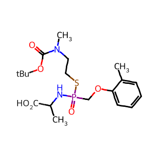 Cc1ccccc1OCP(=O)(NC(C)C(=O)O)SCCN(C)C(=O)OC(C)(C)C